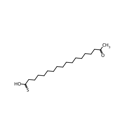 CC(=O)CCCCCCCCCCCCCCCC(O)=S